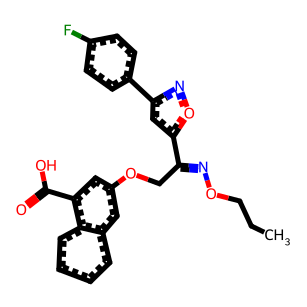 CCCO/N=C(\COc1cc(C(=O)O)c2ccccc2c1)c1cc(-c2ccc(F)cc2)no1